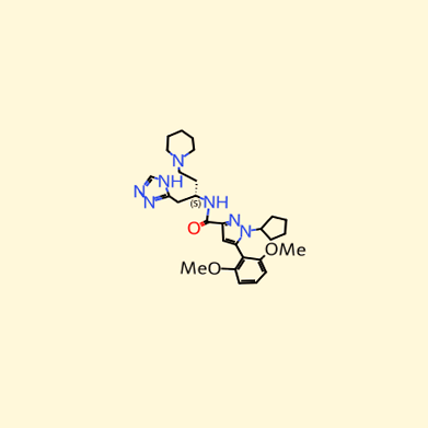 COc1cccc(OC)c1-c1cc(C(=O)N[C@@H](CCN2CCCCC2)Cc2nnc[nH]2)nn1C1CCCC1